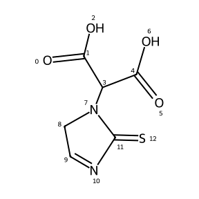 O=C(O)C(C(=O)O)N1CC=NC1=S